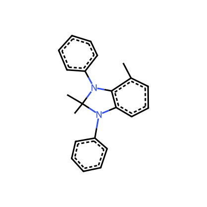 Cc1cccc2c1N(c1ccccc1)C(C)(C)N2c1ccccc1